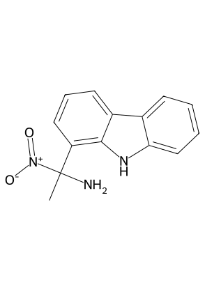 CC(N)(c1cccc2c1[nH]c1ccccc12)[N+](=O)[O-]